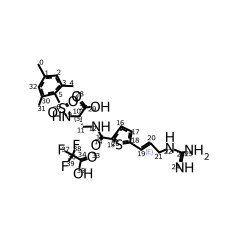 Cc1cc(C)c(S(=O)(=O)N[C@@H](CNC(=O)c2ccc(/C=C/CNC(=N)N)s2)C(=O)O)c(C)c1.O=C(O)C(F)(F)F